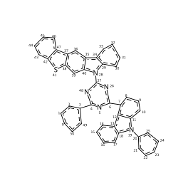 c1ccc(-c2nc(-c3cccc4c3c3ccccc3n4-c3ccccc3)nc(-n3c4ccccc4c4cc5c(cc43)sc3ccccc35)n2)cc1